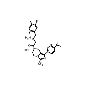 CN(C)c1ccc(-c2nc(C(F)(F)F)n3c2CN(C(=O)C[C@H](N)Cc2cc(F)c(F)cc2F)CC3)cn1.Cl